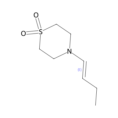 CC/C=C/N1CCS(=O)(=O)CC1